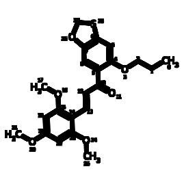 CCCOc1cc2c(cc1C(=O)C=Cc1c(OC)cc(OC)cc1OC)OCS2